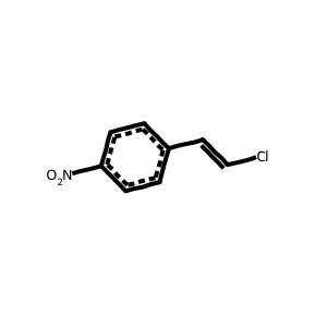 O=[N+]([O-])c1ccc(C=CCl)cc1